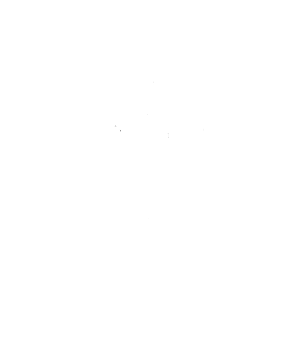 CCN1C(=O)C(=O)c2cc3sccc3cc21